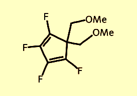 COCC1(COC)C(F)=C(F)C(F)=C1F